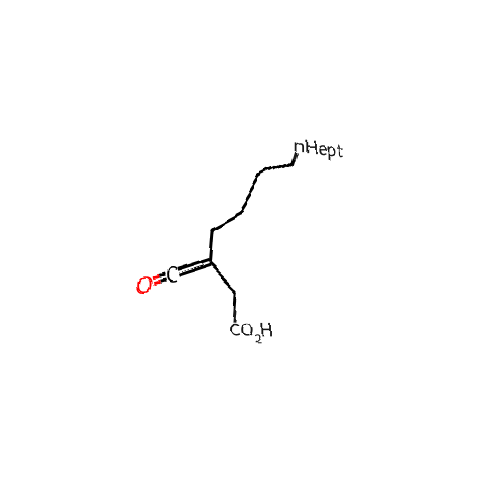 CCCCCCCCCCCC(=C=O)CC(=O)O